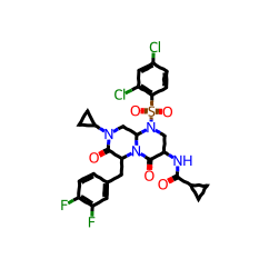 O=C(NC1CN(S(=O)(=O)c2ccc(Cl)cc2Cl)C2CN(C3CC3)C(=O)C(Cc3ccc(F)c(F)c3)N2C1=O)C1CC1